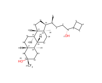 C[C@@H](CC[C@@H](O)C1CCC1)[C@@H]1CC[C@H]2[C@@H]3CC[C@H]4C[C@](O)(C(F)(F)F)CC[C@]4(C)[C@H]3CC[C@@]21C